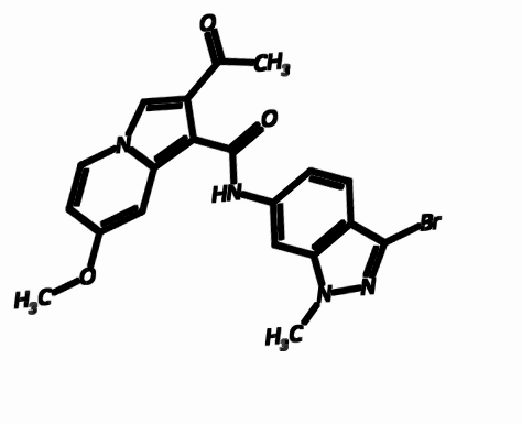 COc1ccn2cc(C(C)=O)c(C(=O)Nc3ccc4c(Br)nn(C)c4c3)c2c1